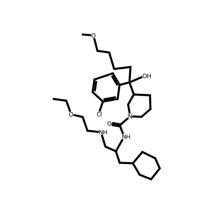 CCOCCNCC(CC1CCCCC1)NC(=O)N1CCCC(C(O)(CCCCOC)c2cccc(Cl)c2)C1